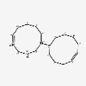 C1=CCCCC(N2CCCCC=NCNC2)CCCC1